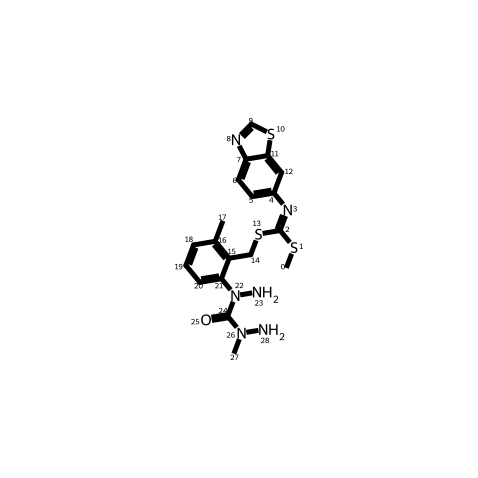 CSC(=Nc1ccc2ncsc2c1)SCc1c(C)cccc1N(N)C(=O)N(C)N